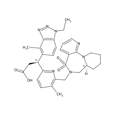 CCn1nnc2c(C)c([C@H](CC(=O)O)c3ccc(C)c(CN4C[C@@H]5CCCCN5c5ncccc5S4(=O)=O)n3)ccc21